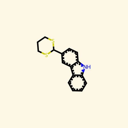 c1ccc2c(c1)[nH]c1ccc(C3SCCCS3)cc12